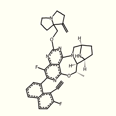 C#Cc1c(F)ccc2cccc(-c3nc4c5c(nc(OCC67CCCN6CCC7=C)nc5c3F)N3C[C@H]5CC[C@H](N5)[C@H]3[C@H](C)O4)c12